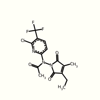 CCC1=C(C)C(=O)N(N(C(C)=O)c2ccc(C(F)(F)F)c(Cl)n2)C1=O